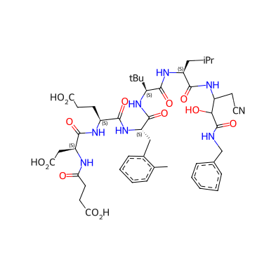 Cc1ccccc1C[C@H](NC(=O)[C@H](CCC(=O)O)NC(=O)[C@H](CC(=O)O)NC(=O)CCC(=O)O)C(=O)N[C@H](C(=O)N[C@@H](CC(C)C)C(=O)NC(CC#N)C(O)C(=O)NCc1ccccc1)C(C)(C)C